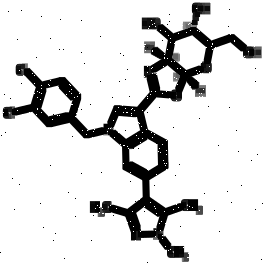 Cc1nn(C)c(C)c1-c1ccc2c(C3=N[C@@H]4C(O)[C@H](O)C(CO)O[C@@H]4O3)cn(Cc3ccc(Cl)c(Cl)c3)c2c1